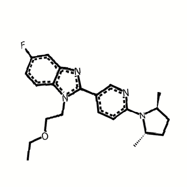 CCOCCn1c(-c2ccc(N3[C@@H](C)CC[C@@H]3C)nc2)nc2cc(F)ccc21